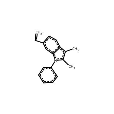 C=Cc1ccc2c(C)c(C)n(-c3ccccc3)c2c1